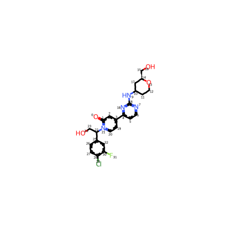 O=c1cc(-c2ccnc(NC3CCO[C@H](CO)C3)n2)ccn1C(CO)c1ccc(Cl)c(F)c1